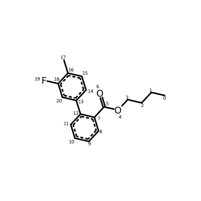 CCCCOC(=O)c1ccccc1-c1ccc(C)c(F)c1